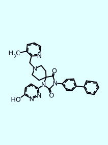 Cc1cccnc1CN1CCC2(CC1)C(=O)N(c1ccc(-c3ccccc3)cc1)C(=O)N2c1ccc(O)nn1